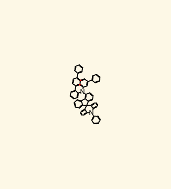 c1ccc(-c2ccc(-c3ccccc3N(c3cccc(-c4ccccc4)c3)c3cccc4c3-c3ccccc3C43c4ccccc4N(c4ccccc4)c4ccccc43)cc2)cc1